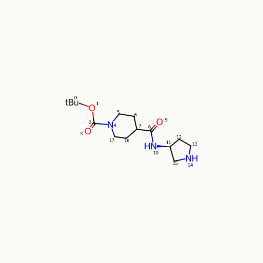 CC(C)(C)OC(=O)N1CCC(C(=O)N[C@H]2CCNC2)CC1